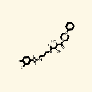 O=C(NCCCNS(=O)(=O)c1ccc(F)c(Cl)c1)[C@H](O)[C@@H](O)C(=O)N1CCN(C2=CCCC=C2)CC1